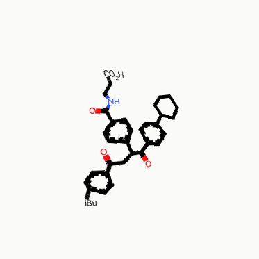 CCC(C)c1ccc(C(=O)CC(C(=O)c2ccc(C3CCCCC3)cc2)c2ccc(C(=O)NCCC(=O)O)cc2)cc1